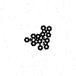 c1ccc(-c2cc(N(c3ccc4c(c3)C3(c5ccccc5-c5ccccc53)c3ccccc3-4)c3cccc4c3sc3ccccc34)cc3c2-c2cccc4c2C3(c2ccccc2)c2ccccc2N4c2ccccc2)cc1